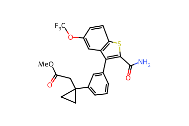 COC(=O)CC1(c2cccc(-c3c(C(N)=O)sc4ccc(OC(F)(F)F)cc34)c2)CC1